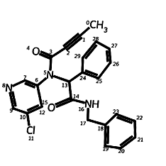 CC#CC(=O)N(c1cncc(Cl)c1)C(C(=O)NCc1ccccc1)c1ccccc1